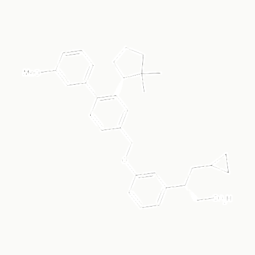 COc1cccc(-c2ccc(COc3cccc([C@@H](CC(=O)O)CC4CC4)c3)cc2[C@@H]2CCCC2(C)C)c1